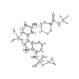 CC(C)(C)OC(=O)N1CCC[C@H](Nc2ncc(C(F)(F)F)c(-c3c[nH]c4c(NS(=O)(=O)CC5CC5)cccc34)n2)C1